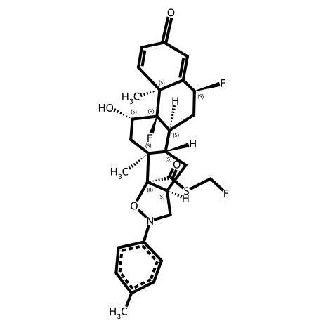 Cc1ccc(N2C[C@@H]3C[C@H]4[C@@H]5C[C@H](F)C6=CC(=O)C=C[C@]6(C)[C@@]5(F)[C@@H](O)C[C@]4(C)[C@]3(C(=O)SCF)O2)cc1